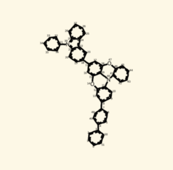 c1ccc(-c2ccc(-c3ccc4c(c3)Oc3cc(-c5ccc6c(c5)c5ccccc5n6-c5ccccc5)cc5c3N4c3ccccc3O5)cc2)cc1